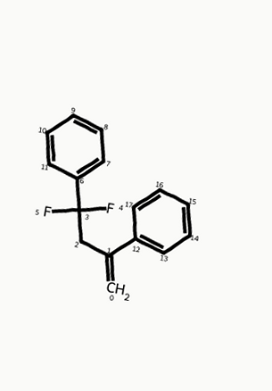 C=C(CC(F)(F)c1ccccc1)c1ccccc1